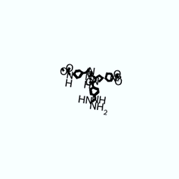 COC(=O)Nc1ccc(-c2cnc(C3C[C@H](C4CCN(S(C)(=O)=O)CC4)CN3C(=O)c3ccc(NC(=N)N)cc3)[nH]2)cc1